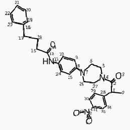 CC(C(=O)N1CCN(c2ccc(NC(=O)CCCc3ccccc3)cc2)CC1)c1ccc([N+](=O)[O-])cc1